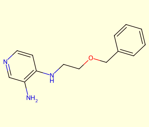 Nc1cnccc1NCCOCc1ccccc1